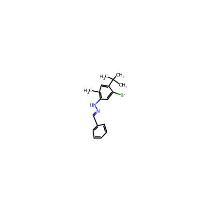 Cc1cc(C(C)(C)C)c(Br)cc1N/N=C/c1ccccc1